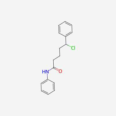 O=C(CCCC(Cl)c1ccccc1)Nc1ccccc1